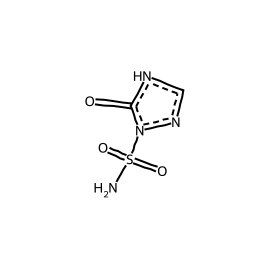 NS(=O)(=O)n1nc[nH]c1=O